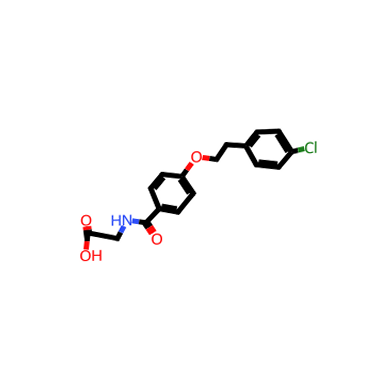 O=C(O)CNC(=O)c1ccc(OCCc2ccc(Cl)cc2)cc1